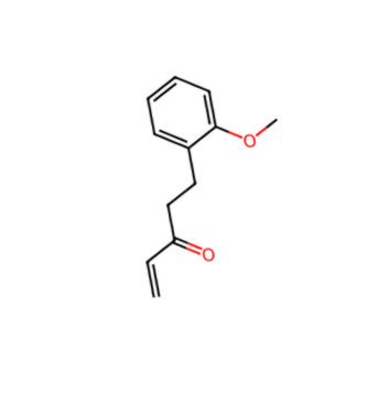 C=CC(=O)CCc1ccccc1OC